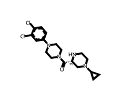 O=C([C@H]1CN(C2CC2)CCN1)N1CCN(c2ccc(Cl)c(Cl)c2)CC1